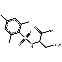 Cc1cc(C)c(S(=O)(=O)NC(CC(=O)O)C(N)=O)c(C)c1